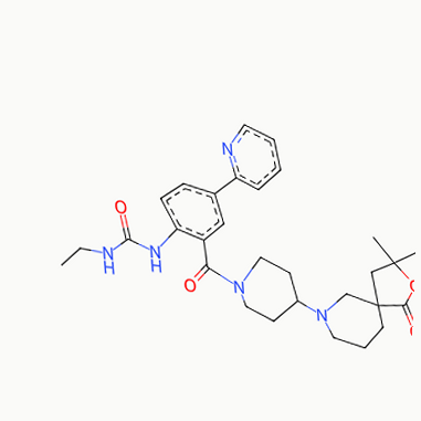 CCNC(=O)Nc1ccc(-c2ccccn2)cc1C(=O)N1CCC(N2CCCC3(C2)CC(C)(C)OC3=O)CC1